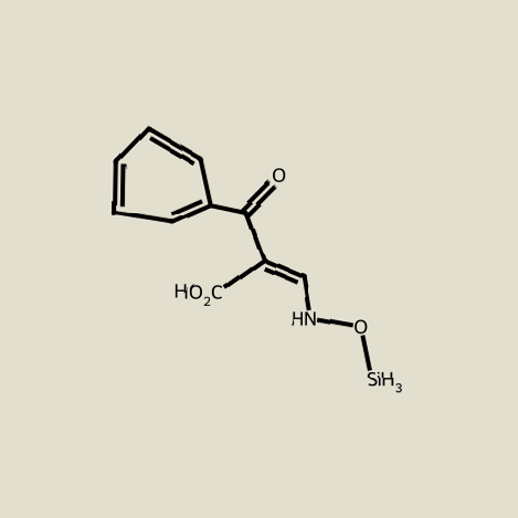 O=C(O)/C(=C\NO[SiH3])C(=O)c1ccccc1